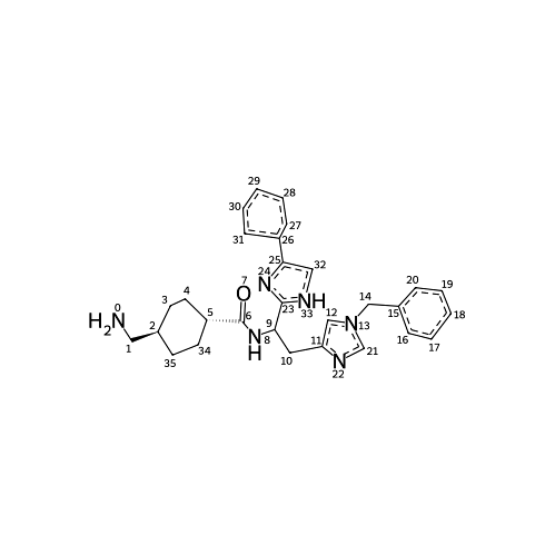 NC[C@H]1CC[C@H](C(=O)NC(Cc2cn(Cc3ccccc3)cn2)c2nc(-c3ccccc3)c[nH]2)CC1